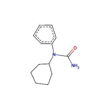 NC(=O)N(c1ccccc1)C1CCCCC1